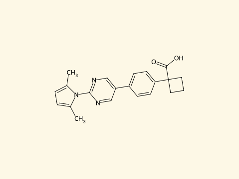 Cc1ccc(C)n1-c1ncc(-c2ccc(C3(C(=O)O)CCC3)cc2)cn1